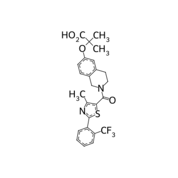 Cc1nc(-c2ccccc2C(F)(F)F)sc1C(=O)N1CCc2cc(OC(C)(C)C(=O)O)ccc2C1